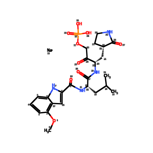 COc1cccc2[nH]c(C(=O)N[C@@H](CC(C)C)C(=O)N[C@@H](C[C@@H]3CCNC3=O)C(=O)COP(=O)(O)O)cc12.[Na]